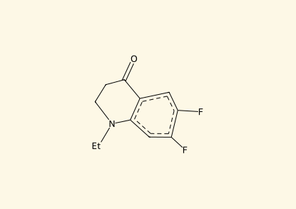 CCN1CCC(=O)c2cc(F)c(F)cc21